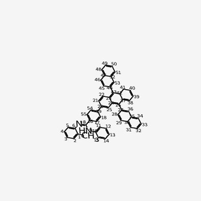 Cc1ccccc1/N=C(\Nc1ccccc1)c1ccc(-c2ccc3c(c2)=C(c2ccc4ccccc4c2)C2=CC=CCC2C=3c2ccc3ccccc3c2)cc1